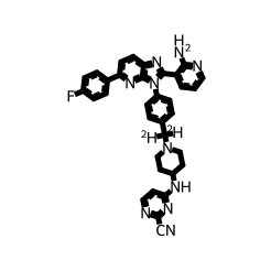 [2H]C([2H])(c1ccc(-n2c(-c3cccnc3N)nc3ccc(-c4ccc(F)cc4)nc32)cc1)N1CCC(Nc2ccnc(C#N)n2)CC1